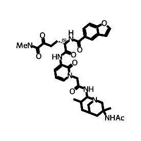 CNC(=O)C(=O)CC[C@H](NC(=O)c1ccc2occc2c1)C(=O)Nc1cccn(CC(=O)NC2C(C)CC3CN2CC(C)(NC(C)=O)C3)c1=O